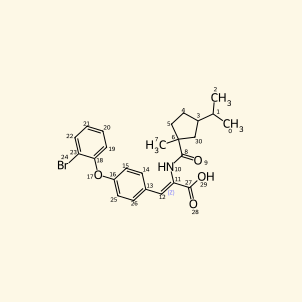 CC(C)C1CCC(C)(C(=O)N/C(=C\c2ccc(Oc3ccccc3Br)cc2)C(=O)O)C1